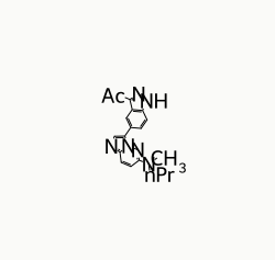 CCCN(C)c1ccc2ncc(-c3ccc4[nH]nc(C(C)=O)c4c3)n2n1